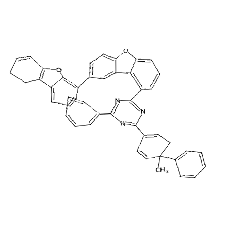 CC1(c2ccccc2)C=CC(c2nc(-c3ccccc3)nc(-c3cccc4oc5ccc(-c6cccc7c8c(oc67)C=CCC8)cc5c34)n2)=CC1